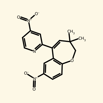 CC1(C)C=C(c2cc([N+](=O)[O-])ccn2)c2cc([N+](=O)[O-])ccc2OC1